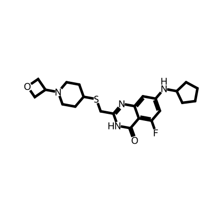 O=c1[nH]c(CSC2CCN(C3COC3)CC2)nc2cc(NC3CCCC3)cc(F)c12